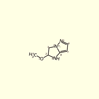 COC1C[N+]2N=CC=C2N1